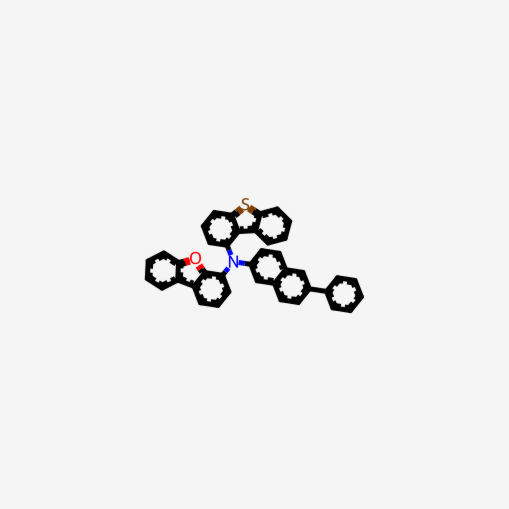 c1ccc(-c2ccc3cc(N(c4cccc5c4oc4ccccc45)c4cccc5sc6ccccc6c45)ccc3c2)cc1